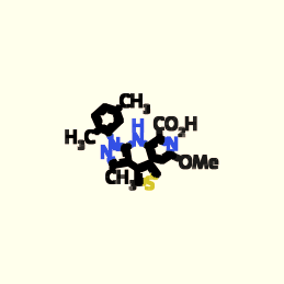 COc1ccc(Nc2c(-c3ccsc3)c(C)nn2-c2cc(C)ccc2C)c(C(=O)O)n1